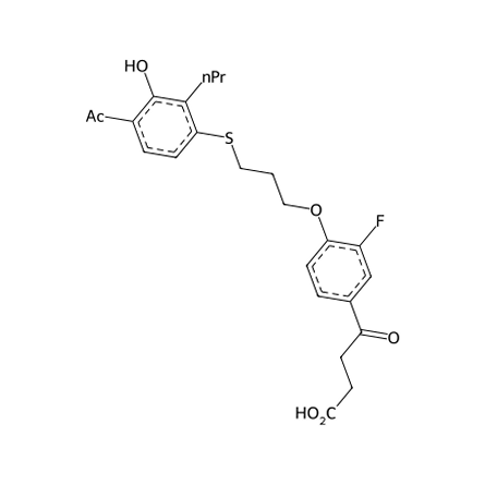 CCCc1c(SCCCOc2ccc(C(=O)CCC(=O)O)cc2F)ccc(C(C)=O)c1O